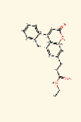 CCOC(=O)CCc1ccc2c(-c3ccccc3C)cc(=O)oc2c1